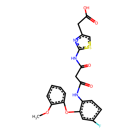 COc1ccccc1Oc1cc(F)ccc1NC(=O)CC(=O)Nc1nc(CC(=O)O)cs1